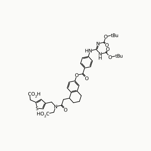 CC(C)(C)OC(=O)/N=C(\NC(=O)OC(C)(C)C)Nc1ccc(C(=O)Oc2ccc3c(c2)CCCC3CC(=O)N(CC(=O)O)Cc2csc(CC(=O)O)c2)cc1